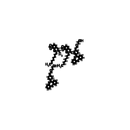 CCCCCCCC[S+]([O-])C(C)Cc1ccc2c(c1)OCO2.CCCCCCCC[S+]([O-])C(C)Cc1ccc2c(c1)OCO2.OCCOCCN1CCN(C2=Nc3ccccc3Sc3ccccc32)CC1.OCCOCCN1CCN(C2=Nc3ccccc3Sc3ccccc32)CC1